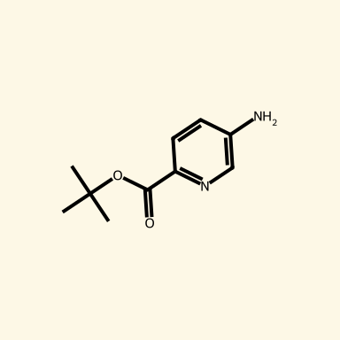 CC(C)(C)OC(=O)c1ccc(N)cn1